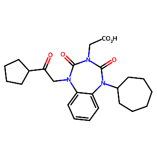 O=C(O)CN1C(=O)N(CC(=O)C2CCCC2)c2ccccc2N(C2CCCCCC2)C1=O